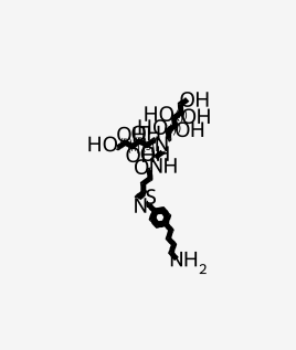 NCCCCc1ccc(-c2ncc(CCC(=O)NCCN(C[C@H](O)[C@@H](O)[C@H](O)[C@H](O)CO)C[C@H](O)[C@@H](O)[C@H](O)[C@H](O)CO)s2)cc1